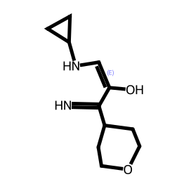 N=C(/C(O)=C\NC1CC1)C1CCOCC1